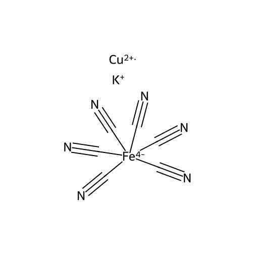 N#[C][Fe-4]([C]#N)([C]#N)([C]#N)([C]#N)[C]#N.[Cu+2].[K+]